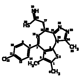 Cc1sc2c(c1C)C(c1ccc(Cl)cc1)=N[C@@H](CC(=N)S)c1nnc(C)n1-2